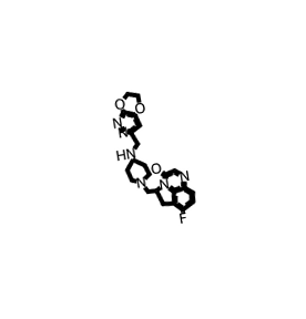 O=c1cnc2ccc(F)c3c2n1C(CN1CCC(NCc2cc4c(nn2)OCCO4)CC1)C3